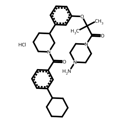 CC(C)(Oc1cccc(C2CCCN(C(=O)c3cccc(C4CCCCC4)c3)C2)c1)C(=O)N1CCN(N)CC1.Cl